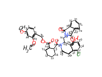 COc1ccc(COC(=O)C2CCCCC2C(=O)N2CCc3c(Cl)ccc(O)c3C2CN2Cc3ccccc3C2=O)c(OC)c1